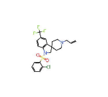 C=CCN1CCC2(CC1)CN(S(=O)(=O)c1ccccc1Cl)c1ccc(C(F)(F)F)cc12